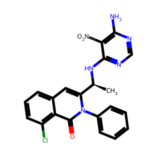 C[C@H](Nc1ncnc(N)c1[N+](=O)[O-])c1cc2cccc(Cl)c2c(=O)n1-c1ccccc1